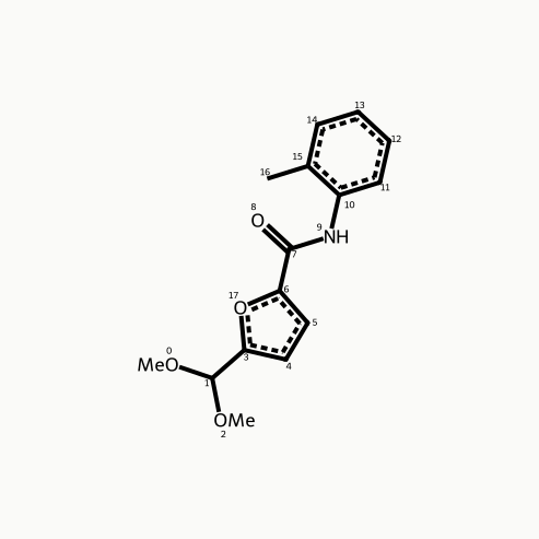 COC(OC)c1ccc(C(=O)Nc2ccccc2C)o1